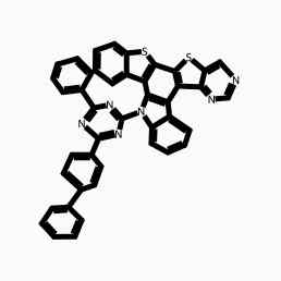 c1ccc(-c2ccc(-c3nc(-c4ccccc4)nc(-n4c5ccccc5c5c6c7ncncc7sc6c6sc7ccccc7c6c54)n3)cc2)cc1